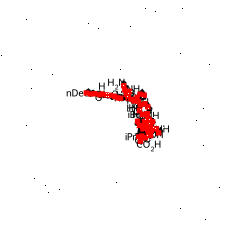 CCCCCCCCCCCCCCCC(=O)NCCCCCC(=O)NCCCC[C@H](NC(=O)C[C@H](Cc1ccccc1)NC(=O)[C@@H]1CC/C=C/CC[C@H](NC(=O)C2CCCN2C(=O)[C@@H](NC(=O)[C@H](Cc2cnc[nH]2)NC(=O)[C@@H](NC(=O)[C@H](CCC(=O)O)NC(=O)CC(C)C)[C@@H](C)O)C(c2ccccc2)c2ccccc2)C(=O)N[C@@H]([C@@H](C)CC)C(=O)N1)C(=O)N[C@H](CCCCN)C(N)=O